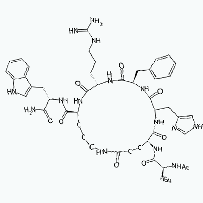 CCCC[C@H](NC(C)=O)C(=O)N[C@H]1CCC(=O)NCCC[C@@H](C(=O)N[C@@H](Cc2c[nH]c3ccccc23)C(N)=O)NC(=O)[C@H](CCCNC(=N)N)NC(=O)[C@@H](Cc2ccccc2)NC(=O)C(Cc2c[nH]cn2)NC1=O